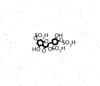 O=c1c(OS(=O)(=O)O)c(-c2ccc(OS(=O)(=O)O)c(O)c2)oc2cc(OS(=O)(=O)O)cc(O)c12